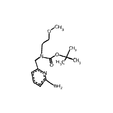 Bc1cccc(CN(CCOC)C(=O)OC(C)(C)C)n1